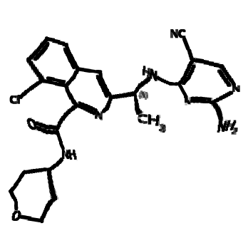 C[C@H](Nc1nc(N)ncc1C#N)c1cc2cccc(Cl)c2c(C(=O)NC2CCOCC2)n1